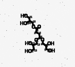 O=C(CCC(OCC(O)CO)OCC(O)CO)OCC(O)CO